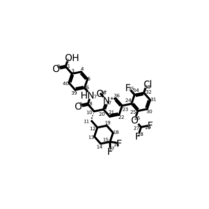 O=C(O)c1ccc(NC(=O)[C@@H](CC2CCC(F)(F)CC2)c2ccc(-c3c(OC(F)F)ccc(Cl)c3F)c[n+]2[O-])cc1